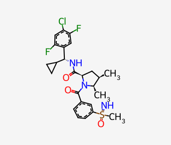 C[C@@H]1C[C@H](C(=O)N[C@@H](c2cc(F)c(Cl)cc2F)C2CC2)N(C(=O)c2cccc(S(C)(=N)=O)c2)[C@@H]1C